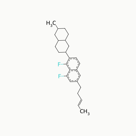 CC=CCCc1cc(F)c2c(F)c(C3CCC4CC(C)CCC4C3)ccc2c1